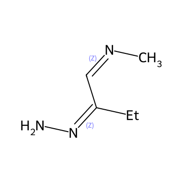 CCC(/C=N\C)=N/N